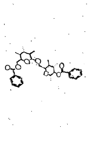 CC1[C@@H](OCC2O[C@@H](C)C(OC(=O)c3ccccc3)[C@@H](C)[C@@H]2C)OC(COC(=O)c2ccccc2)[C@@H](C)[C@@H]1C